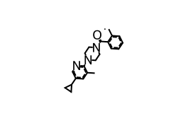 [CH2]c1ccccc1C(=O)N1CCN(c2ncc(C3CC3)cc2C)CC1